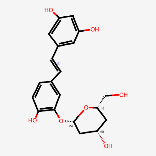 OC[C@@H]1C[C@H](O)C[C@H](Oc2cc(/C=C/c3cc(O)cc(O)c3)ccc2O)O1